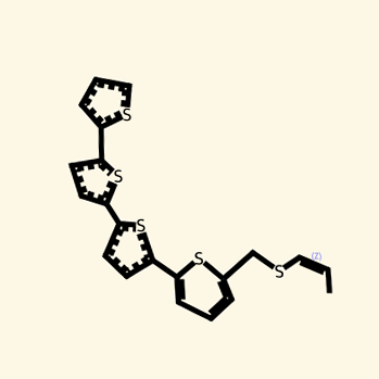 C/C=C\SCC1=C=CC=C(c2ccc(-c3ccc(-c4cccs4)s3)s2)S1